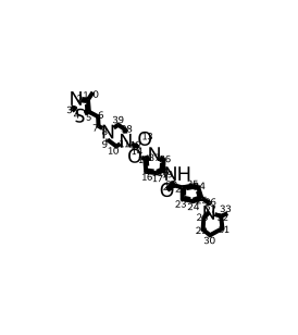 Cc1ncsc1CCN1CCN(C(=O)Oc2ccc(NC(=O)c3ccc(CN4CCCCC4C)cc3)cn2)CC1